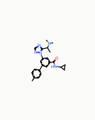 Cc1ccc(-c2cc(C(=O)NC3CC3)cc(-n3ncnc3C(C)N(C)C)c2)cc1